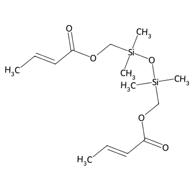 CC=CC(=O)OC[Si](C)(C)O[Si](C)(C)COC(=O)C=CC